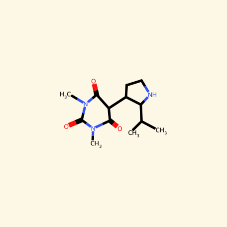 CC(C)C1NCCC1C1C(=O)N(C)C(=O)N(C)C1=O